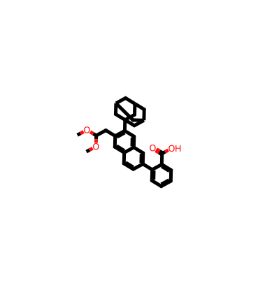 COC(Cc1cc2ccc(-c3ccccc3C(=O)O)cc2cc1C12CC3CC(CC(C3)C1)C2)OC